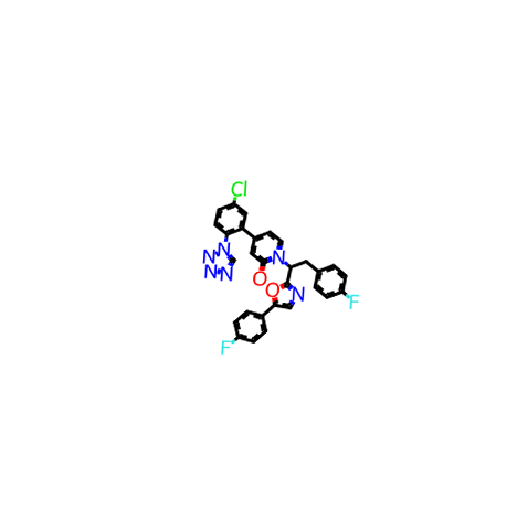 O=c1cc(-c2cc(Cl)ccc2-n2cnnn2)ccn1C(Cc1ccc(F)cc1)c1ncc(-c2ccc(F)cc2)o1